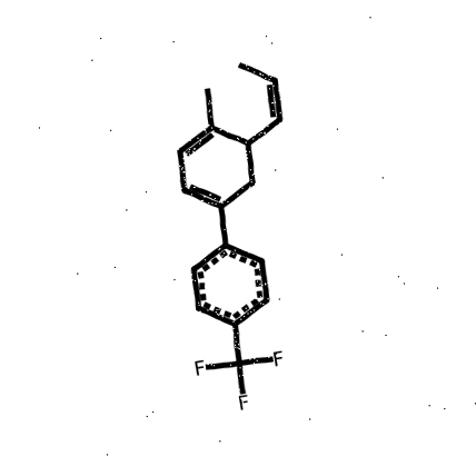 C/C=C\C1CC(c2ccc(C(F)(F)F)cc2)=CC=C1C